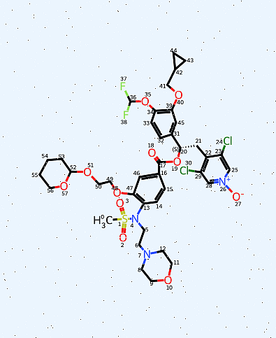 CS(=O)(=O)N(CCN1CCOCC1)c1ccc(C(=O)O[C@@H](Cc2c(Cl)c[n+]([O-])cc2Cl)c2ccc(OC(F)F)c(OCC3CC3)c2)cc1OCCOC1CCCCO1